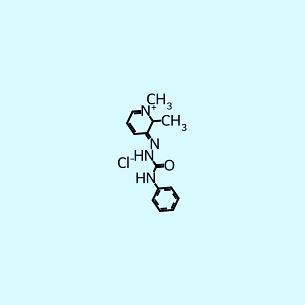 CC1C(=NNC(=O)Nc2ccccc2)C=CC=[N+]1C.[Cl-]